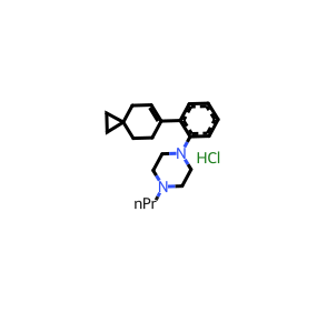 CCCN1CCN(c2ccccc2C2=CCC3(CC2)CC3)CC1.Cl